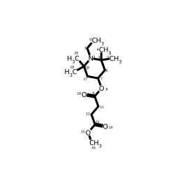 CCN1C(C)(C)CC(OC(=O)CCC(=O)OC)CC1(C)C